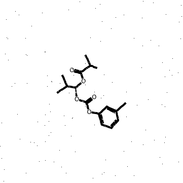 Cc1cccc(OC(=O)O[C@H](OC(=O)C(C)C)C(C)C)c1